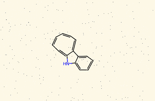 C1=C\C=c2/c([nH]c3ccccc23)=C\C=C/1